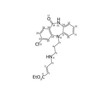 CCOC(=O)/C=C/CNCCCN1c2ccccc2NC(=O)c2ccc(Cl)cc21